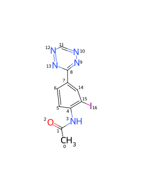 CC(=O)Nc1ccc(-c2nncnn2)cc1I